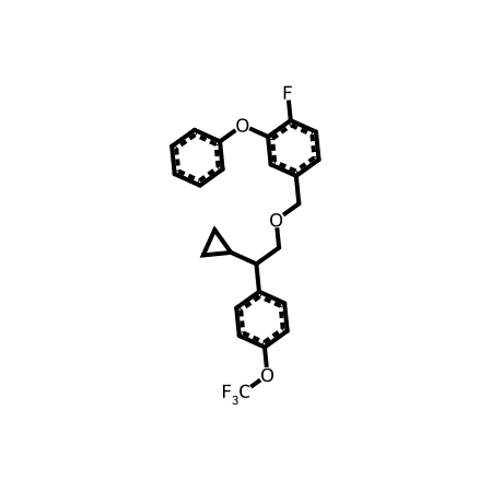 Fc1ccc(COCC(c2ccc(OC(F)(F)F)cc2)C2CC2)cc1Oc1ccccc1